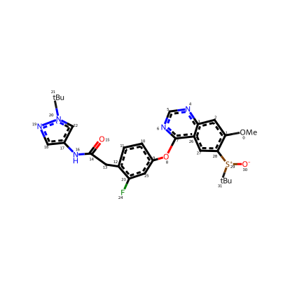 COc1cc2ncnc(Oc3ccc(CC(=O)Nc4cnn(C(C)(C)C)c4)c(F)c3)c2cc1[S+]([O-])C(C)(C)C